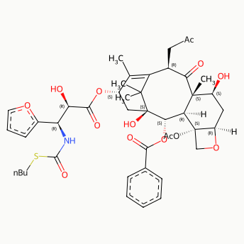 CCCCSC(=O)N[C@@H](c1ccco1)[C@@H](O)C(=O)O[C@H]1C[C@@]2(O)[C@@H](OC(=O)c3ccccc3)[C@@H]3[C@]4(OC(C)=O)CO[C@@H]4C[C@H](O)[C@@]3(C)C(=O)[C@H](CC(C)=O)C(=C1C)C2(C)C